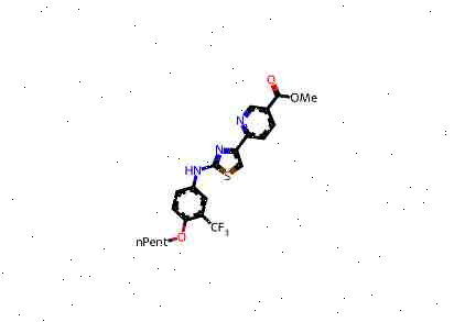 CCCCCOc1ccc(Nc2nc(-c3ccc(C(=O)OC)cn3)cs2)cc1C(F)(F)F